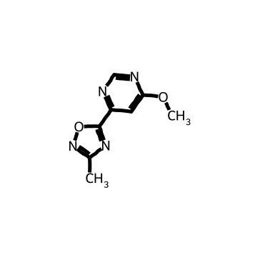 COc1cc(-c2nc(C)no2)ncn1